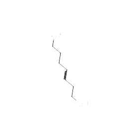 CC(=O)OCCC/C=C/CCO